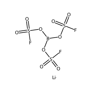 O=S(=O)(F)OB(OS(=O)(=O)F)OS(=O)(=O)F.[Li]